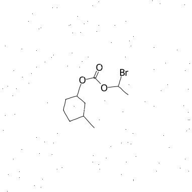 CC1CCCC(OC(=O)OC(C)Br)C1